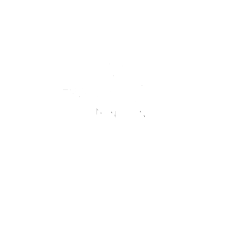 O=C(O)c1nn2cc(-c3ccc(Cl)c(F)c3)[nH]c(=O)c2c1C1CC1